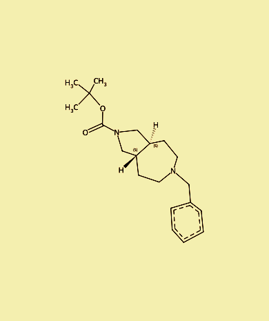 CC(C)(C)OC(=O)N1C[C@H]2CCN(Cc3ccccc3)CC[C@@H]2C1